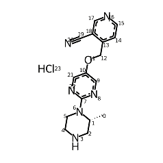 C[C@@H]1CNCCN1c1ncc(OCc2ccncc2C#N)cn1.Cl